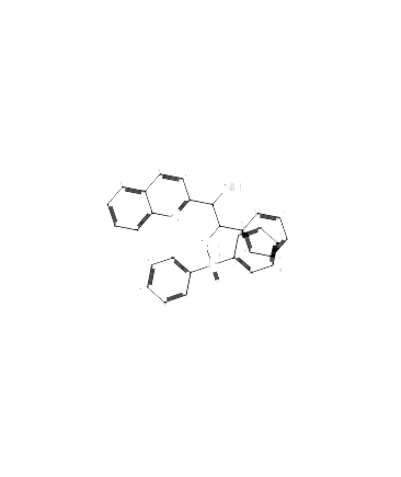 NC(c1ccc2ccccc2n1)C(NP(=O)(c1ccccc1)c1ccccc1)c1ccccc1